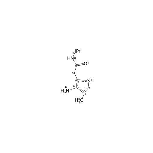 Cc1csc(CC(=O)NC(C)C)c1N